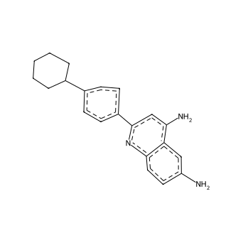 Nc1ccc2nc(-c3ccc(C4CCCCC4)cc3)cc(N)c2c1